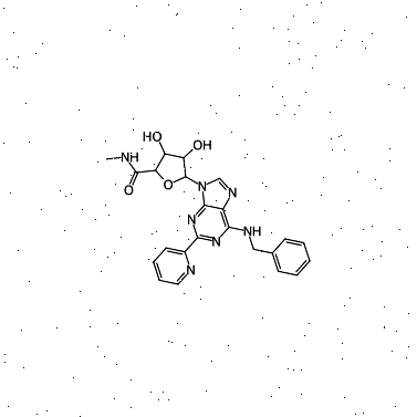 CNC(=O)C1OC(n2cnc3c(NCc4ccccc4)nc(-c4ccccn4)nc32)C(O)C1O